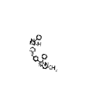 Cc1ccc2nc(-c3ccc(CN4CCC(c5nnc(-c6ccccc6)[nH]5)CC4)cc3)c(-c3ccccc3)n2n1